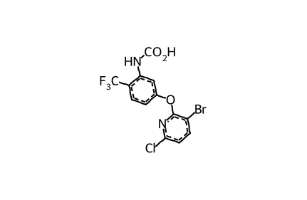 O=C(O)Nc1cc(Oc2nc(Cl)ccc2Br)ccc1C(F)(F)F